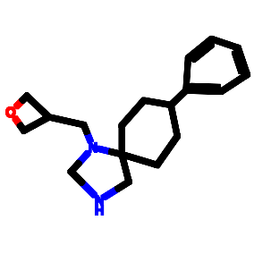 c1ccc(C2CCC3(CC2)CNCN3CC2COC2)cc1